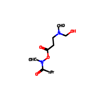 CCCC(=O)N(C=O)OC(=O)CCN(C=O)CO